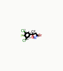 Fc1c(Cl)cc(C2(C(F)(F)F)CC(Br)=NO2)cc1Cl